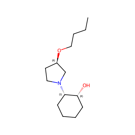 CCCCO[C@@H]1CCN([C@H]2CCCC[C@H]2O)C1